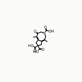 C/C1=C2\CC(C(=O)O)(C(=O)O)C\C2=C(/C)C(=O)CN(C(=O)O)C1